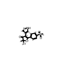 CCC1(C)OC(c2ccc(S(C)(=O)=O)cc2)=C(c2cn[nH]c2)C1=O